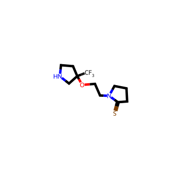 FC(F)(F)C1(OCCN2CCCC2=S)CCNC1